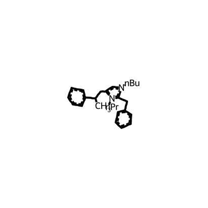 CCCCn1cc(CC(C)c2ccccc2)[n+](CCC)c1Cc1ccccc1